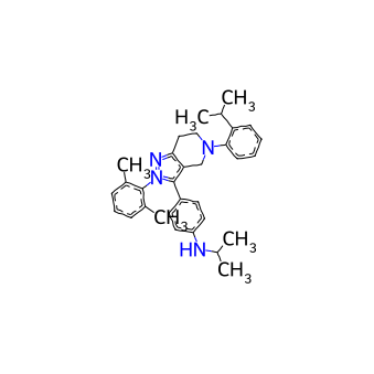 Cc1cccc(C)c1-n1nc2c(c1-c1ccc(NC(C)C)cc1)CN(c1ccccc1C(C)C)CC2